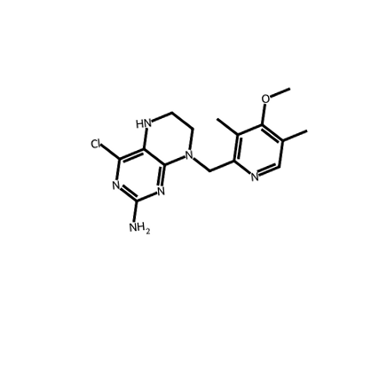 COc1c(C)cnc(CN2CCNc3c(Cl)nc(N)nc32)c1C